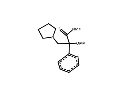 CNC(=S)C(CN1CCCC1)(OC)c1ccccn1